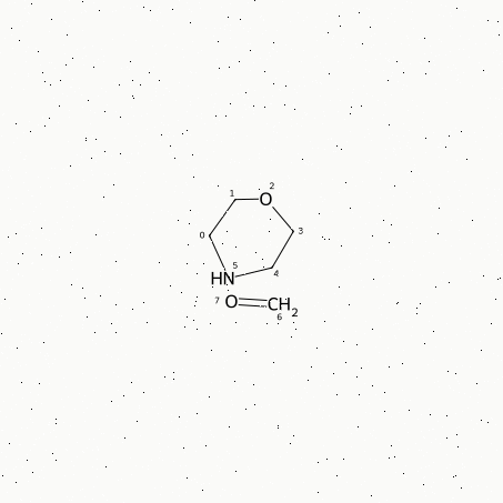 C1COCCN1.C=O